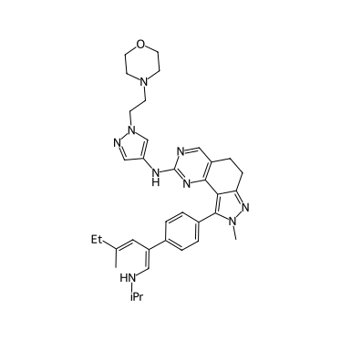 CC/C(C)=C/C(=C\NC(C)C)c1ccc(-c2c3c(nn2C)CCc2cnc(Nc4cnn(CCN5CCOCC5)c4)nc2-3)cc1